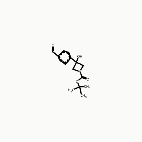 CC(C)(C)OC(=O)N1CC(O)(c2ccc(C=O)cc2)C1